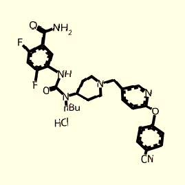 CCCCN(C(=O)Nc1cc(C(N)=O)c(F)cc1F)C1CCN(Cc2ccc(Oc3ccc(C#N)cc3)nc2)CC1.Cl